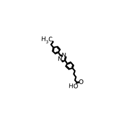 CCCc1ccc(-c2ncc(-c3ccc(CCCCC(=O)O)cc3)cn2)cc1